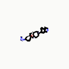 C[C@H]1C/C=C(/c2ccc3ccncc3c2)CC/C=C2/C=C3CCC(N(C)C)C[C@]34CC[C@@]21O4